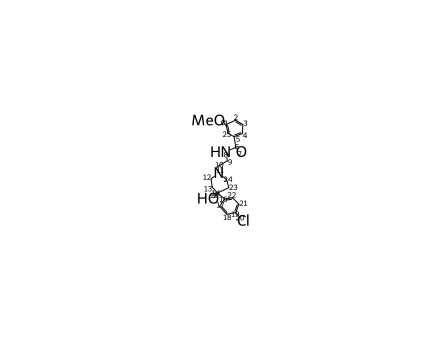 COc1cccc(C(=O)NCCN2CCC(O)(c3ccc(Cl)cc3)CC2)c1